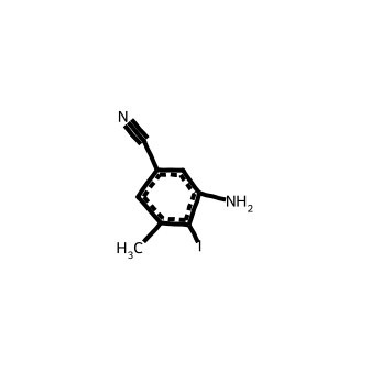 Cc1cc(C#N)cc(N)c1I